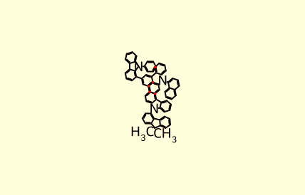 CC1(C)c2ccccc2-c2c(-n3c4ccccc4c4cc(-c5cc(-c6ccccc6N(c6ccccc6)c6cccc7ccccc67)cc(-c6cccc7c8ccccc8n(-c8ccccc8)c67)c5)ccc43)cccc21